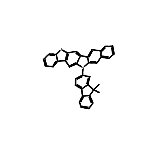 CC1(C)c2ccccc2-c2ccc(-n3c4cc5ccccc5cc4c4cc5sc6ccccc6c5cc43)cc21